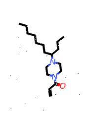 C=CC(=O)N1CCN(C(CCC)CCCCCCC)CC1